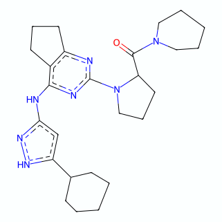 O=C(C1CCCN1c1nc2c(c(Nc3cc(C4CCCCC4)[nH]n3)n1)CCC2)N1CCCCC1